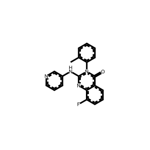 Cc1ccccc1-n1c(Nc2cccnc2)nc2c(F)cccc2c1=O